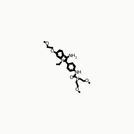 CCn1c(-c2ccc(NC(=O)N(CCOC)CCOC)cc2)c(N)c2ccc(OCCOC)cc21